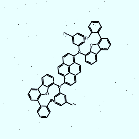 CC(C)c1cccc(N(c2ccc3ccc4c(N(c5cccc(C(C)C)c5)c5cccc6c5oc5c(-c7ccccc7C(C)C)cccc56)ccc5ccc2c3c54)c2cccc3c2oc2c(-c4ccccc4C(C)C)cccc23)c1